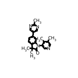 Cc1ncc(-c2ccc3c(c2)N(c2cncc(C)c2C)C(=O)C3(C)C)cn1